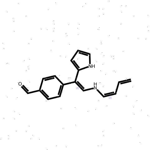 C=C/C=C\N/C=C(/c1ccc(C=O)cc1)c1ccc[nH]1